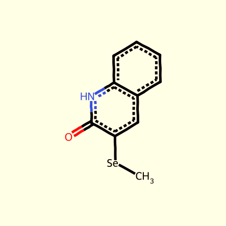 C[Se]c1cc2ccccc2[nH]c1=O